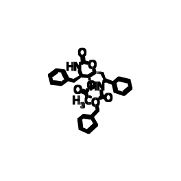 CC(=O)O[C@@H]1[C@@H](Cc2ccccc2)NC(=O)O[C@@H]1C[C@H](NC(=O)OCc1ccccc1)c1ccccc1